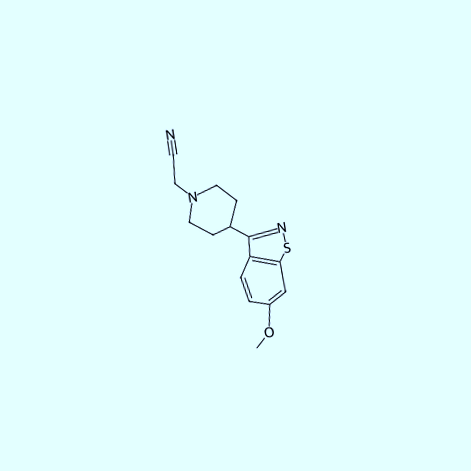 COc1ccc2c(C3CCN(CC#N)CC3)nsc2c1